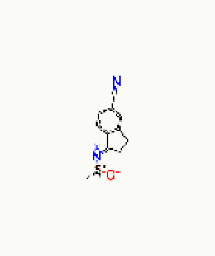 C[S@@+]([O-])/N=C1\CCc2cc(C#N)ccc21